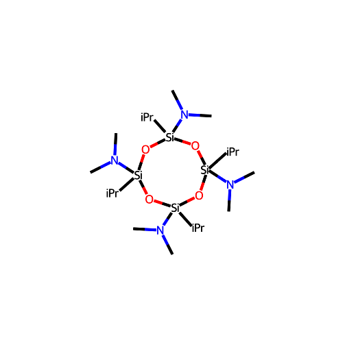 CC(C)[Si]1(N(C)C)O[Si](C(C)C)(N(C)C)O[Si](C(C)C)(N(C)C)O[Si](C(C)C)(N(C)C)O1